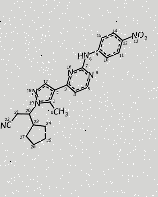 Cc1c(-c2ccnc(Nc3ccc([N+](=O)[O-])cc3)n2)cnn1C(CC#N)C1CCCC1